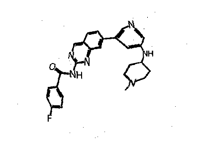 CN1CCC(Nc2cncc(-c3ccc4cnc(NC(=O)c5ccc(F)cc5)nc4c3)c2)CC1